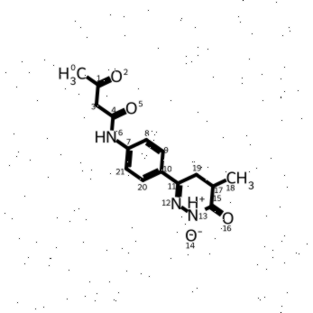 CC(=O)CC(=O)Nc1ccc(C2=N[NH+]([O-])C(=O)C(C)C2)cc1